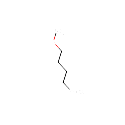 CCOC(=O)CCCCO[N+](=O)[O-]